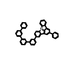 c1ccc(-c2cccc(-c3cccc(-c4cccc(-c5ccc6c(c5)c5cc(-c7ccccc7)cc7c8ccccc8n6c75)c4)c3)c2)cc1